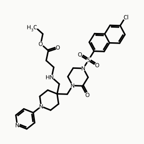 CCOC(=O)CCNCC1(CN2CCN(S(=O)(=O)c3ccc4cc(Cl)ccc4c3)CC2=O)CCN(c2ccncc2)CC1